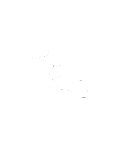 CC(C)C(=P)CC(C)(C)CN1CCOCC1